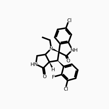 CCN1C2CNC(=O)[C@H]2[C@H](c2cccc(Cl)c2F)[C@]12C(=O)Nc1cc(Cl)ccc12